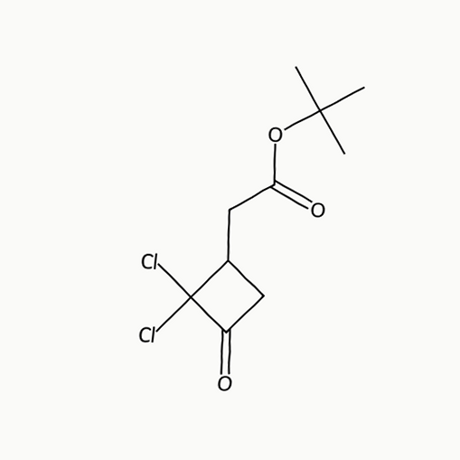 CC(C)(C)OC(=O)CC1CC(=O)C1(Cl)Cl